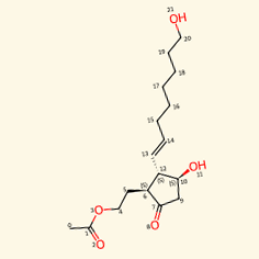 CC(=O)OCC[C@@H]1C(=O)C[C@H](O)[C@H]1C=CCCCCCCO